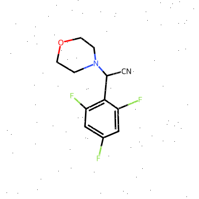 N#CC(c1c(F)cc(F)cc1F)N1CCOCC1